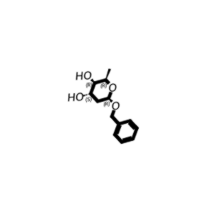 C[C@H]1O[C@@H](OCc2ccccc2)C[C@H](O)[C@H]1O